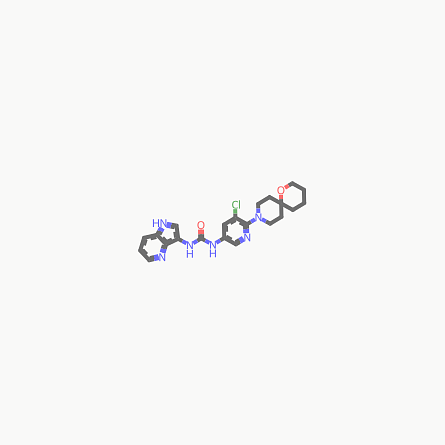 O=C(Nc1cnc(N2CCC3(CCCCO3)CC2)c(Cl)c1)Nc1c[nH]c2cccnc12